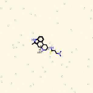 CCCN1C[C@@H](NC(=S)CCN(C)C)CC2c3cccc4[nH]c(C)c(c34)C[C@H]21